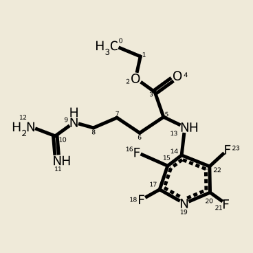 CCOC(=O)C(CCCNC(=N)N)Nc1c(F)c(F)nc(F)c1F